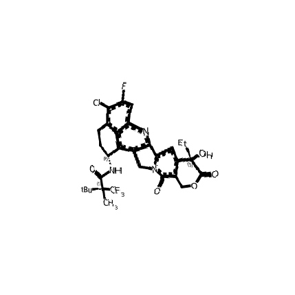 CC[C@@]1(O)C(=O)OCc2c1cc1n(c2=O)Cc2c-1nc1cc(F)c(Cl)c3c1c2[C@H](NC(=O)[C@](C)(C(C)(C)C)C(F)(F)F)CC3